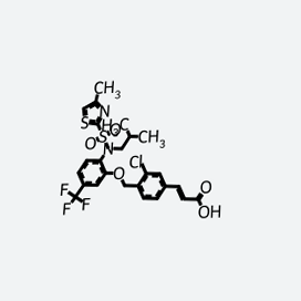 Cc1csc(S(=O)(=O)N(CC(C)C)c2ccc(C(F)(F)F)cc2OCc2ccc(C=CC(=O)O)cc2Cl)n1